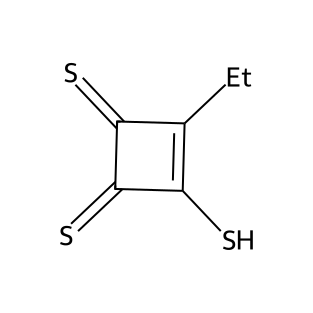 CCc1c(S)c(=S)c1=S